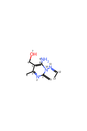 C=C1N=C(C)C(CO)=C(N)N1/N=C\C